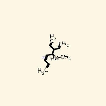 C=C/C=C\C(NC)C(C=C)C=C